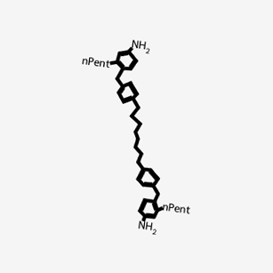 CCCCCc1cc(N)ccc1Cc1ccc(CCCCCCCCc2ccc(Cc3ccc(N)cc3CCCCC)cc2)cc1